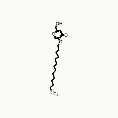 CCCCCCCCCCCCCCOc1coc(CO)cc1=O